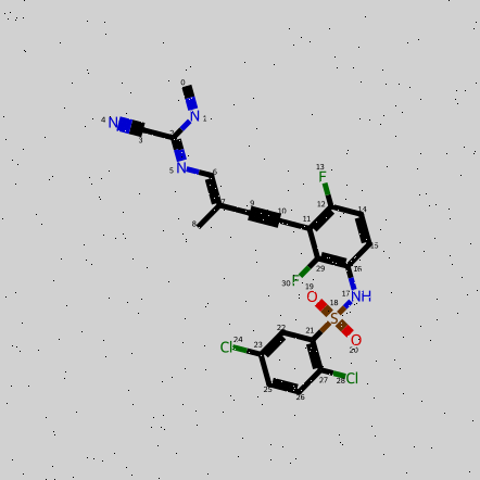 C=N/C(C#N)=N\C=C(/C)C#Cc1c(F)ccc(NS(=O)(=O)c2cc(Cl)ccc2Cl)c1F